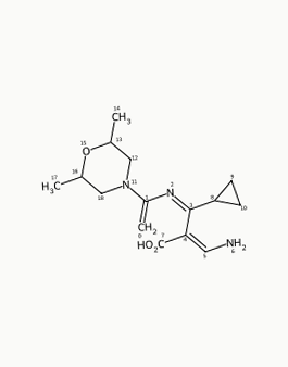 C=C(/N=C(\C(=C/N)C(=O)O)C1CC1)N1CC(C)OC(C)C1